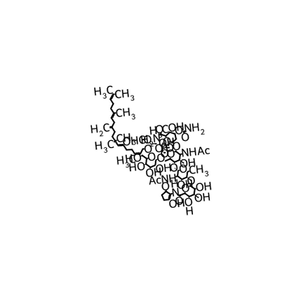 C=C(C/C=C(\C)CCC=C(C)C)CCC(C)(C)/C=C/CC/C(C)=C\CO[C@H](COP(=O)(O)O[C@@]1(O[C@@H]2OC(CO[C@@H]3OC(CO)[C@@H](O)[C@H](O)C3O)[C@@H](O[C@@H]3OC(C)[C@@H](O[C@@H]4OC(C(=O)NC5=C(O)CCC5=O)[C@H](O)[C@H](O)C4O)[C@H](O)C3NC(C)=O)[C@H](O)C2NC(C)=O)C[C@@H](OC(N)=O)[C@](C)(O)C(C(N)=O)O1)OC=O